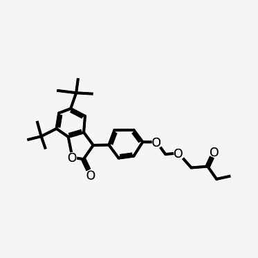 CCC(=O)COCOc1ccc(C2C(=O)Oc3c2cc(C(C)(C)C)cc3C(C)(C)C)cc1